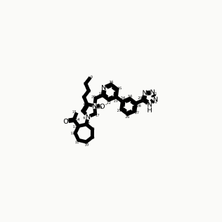 CCCCC1=CN(C2CCCCCC2C(C)=O)C[N+]1([O-])Cc1cc(-c2cccc(-c3nnn[nH]3)c2)ccn1